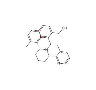 Cc1cccnc1[C@H]1CCC[C@@H](c2ncccc2C)N1Cc1ccccc1CO